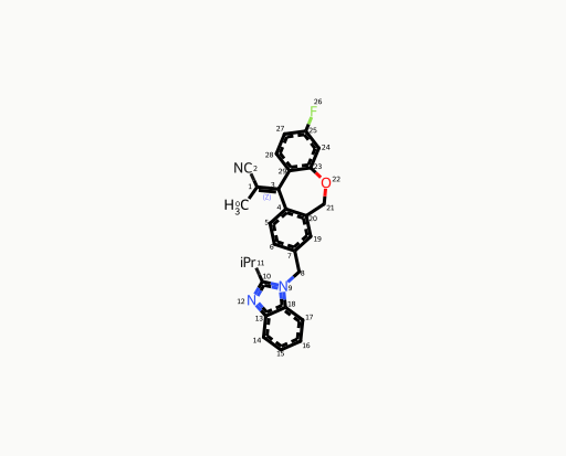 C/C(C#N)=C1\c2ccc(Cn3c(C(C)C)nc4ccccc43)cc2COc2cc(F)ccc21